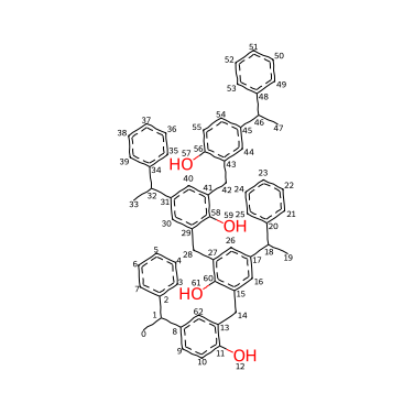 CC(c1ccccc1)c1ccc(O)c(Cc2cc(C(C)c3ccccc3)cc(Cc3cc(C(C)c4ccccc4)cc(Cc4cc(C(C)c5ccccc5)ccc4O)c3O)c2O)c1